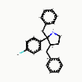 Fc1ccc(C2(Cc3ccccc3)[N]CCC2Cc2ccccc2)cc1